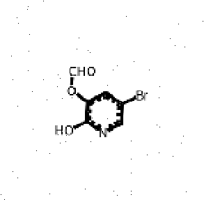 O=COc1cc(Br)cnc1O